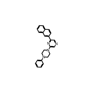 c1ccc(N2CCN(c3cncc(-c4ccc5ccccc5c4)n3)CC2)cc1